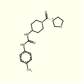 Cc1ccc(NC(=O)NC2CCN(C(=O)[C@@H]3CCOC3)CC2)cc1